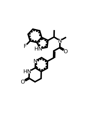 CC(c1c[nH]c2c(F)cccc12)N(C)C(=O)/C=C/c1cnc2c(c1)CCC(=O)N2